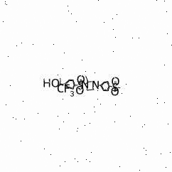 CC1CN(c2ccc(S(C)(=O)=O)cc2)CCN1S(=O)(=O)c1ccc(C(C)(O)C(F)(F)F)cc1